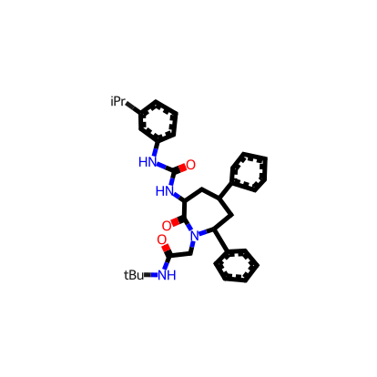 CC(C)c1cccc(NC(=O)NC2CC(c3ccccc3)CC(c3ccccc3)N(CC(=O)NC(C)(C)C)C2=O)c1